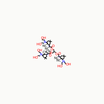 CC1(C)CC(N(CCO)CCO)=C(C#N)/C(=C(\C#N)C(=O)OCC(COC(=O)/C(C#N)=C2\CC(C)(C)CC(N(CCO)CCO)=C2C#N)COC(=O)/C(C#N)=C2\CC(C)(C)CC(N(CCO)CCO)=C2C#N)C1